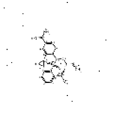 C=CCON(C1CN=C(C(N)=O)C=C1C1CC1)S(=O)(=O)c1ccccc1[N+](=O)[O-]